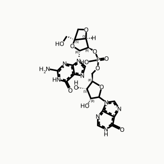 Nc1nc2c(ncn2[C@@H]2O[C@@]3(CO)CO[C@H]3[C@H]2OP(=O)(O)OC[C@H]2OC(n3cnc4c(=O)[nH]cnc43)[C@H](O)[C@@H]2O)c(=O)[nH]1